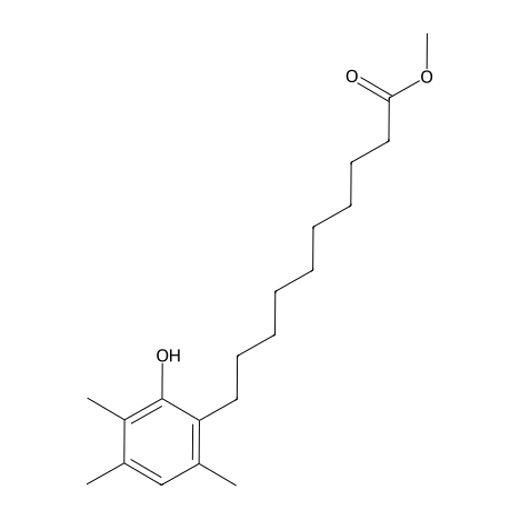 COC(=O)CCCCCCCCCc1c(C)cc(C)c(C)c1O